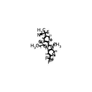 CCS(=O)(=O)c1cc(C(C)(F)C#N)cnc1-c1nc2cc(C(F)(F)F)ncc2n1C